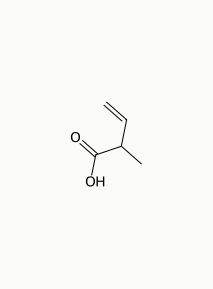 C=CC(C)C(=O)O